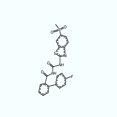 CS(=O)(=O)c1ccc2nc(NC(=O)NC(=O)c3ccccc3-c3ccc(F)cc3)sc2c1